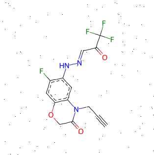 C#CCN1C(=O)COc2cc(F)c(NN=CC(=O)C(F)(F)F)cc21